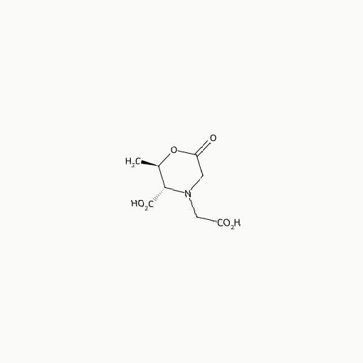 C[C@H]1OC(=O)CN(CC(=O)O)[C@@H]1C(=O)O